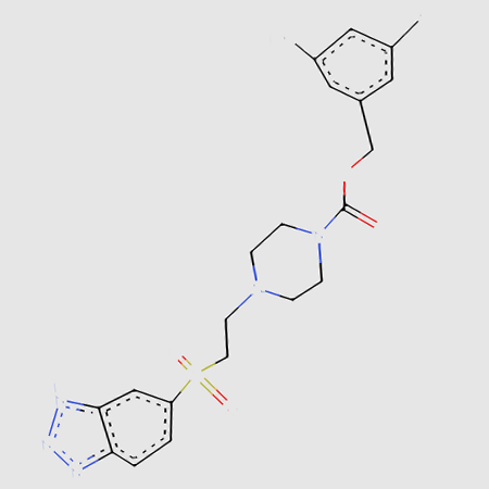 O=C(OCc1cc(C(F)(F)F)cc(C(F)(F)F)c1)N1CCN(CCS(=O)(=O)c2ccc3nn[nH]c3c2)CC1